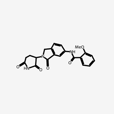 COc1ccccc1C(=O)Nc1ccc2c(c1)C(=O)N(C1CCC(=O)NC1=O)C2